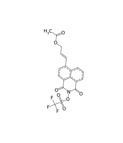 CC(=O)OC/C=C/c1ccc2c3c(cccc13)C(=O)N(OS(=O)(=O)C(F)(F)F)C2=O